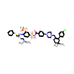 CN(C)CC[C@H](CSc1ccccc1)Nc1ccc(S(=O)(=O)NC(=O)c2ccc(N3CCN(CC4=C(c5ccc(Cl)cc5)CC(C)(C)CC4)CC3)cc2)cc1S(=O)(=O)C(F)(F)F